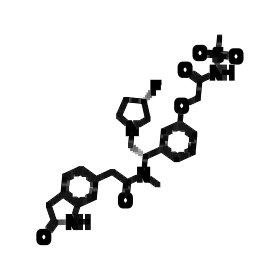 CN(C(=O)Cc1ccc2c(c1)NC(=O)C2)[C@H](CN1CC[C@H](F)C1)c1cccc(OCC(=O)NS(C)(=O)=O)c1